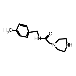 Cc1ccc(CNC(=O)CN2CCNCC2)cc1